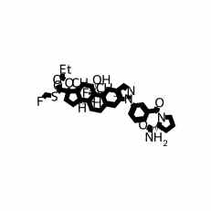 CCC(=O)O[C@]1(C(=O)SCF)CC[C@H]2[C@@H]3CCC4=Cc5c(cnn5-c5cccc(C(=O)N6CCC[C@@H]6C(N)=O)c5)C[C@]4(C)[C@@]3(F)[C@@H](O)C[C@@]21C